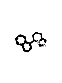 c1ccc2c(C3CCCc4cncn43)cccc2c1